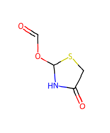 O=COC1NC(=O)CS1